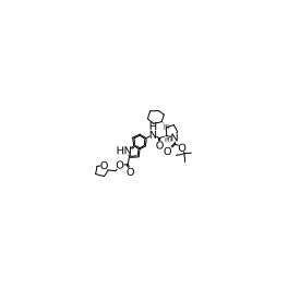 CC(C)(C)OC(=O)N1CC[C@@H](C2CCCCC2)[C@@H]1C(=O)Nc1ccc2[nH]c(C(=O)OCC3CCCO3)cc2c1